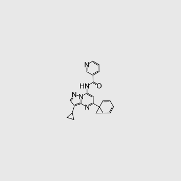 O=C(Nc1cc(C23C=CC=CC2C3)nc2c(C3CC3)cnn12)c1cccnc1